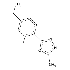 CCc1ccc(-c2nnc(C)o2)c(F)c1